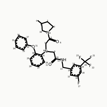 CC1CCN(C(=O)CN(CC(=O)NCc2cc(F)cc(C(F)(F)F)c2)c2ccccc2Oc2ccccc2)C1